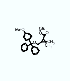 COc1ccc(C(OCC2C(C(=O)OC(C)(C)C)C2(C)C)(c2ccccc2)c2ccccc2)cc1